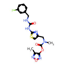 Cc1nonc1OC(=O)N(C)Cc1csc(NC(=O)NCc2cccc(F)c2)n1